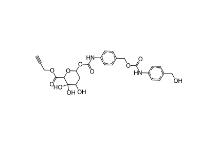 C#CCOC(=O)C1OC(OC(=O)Nc2ccc(COC(=O)Nc3ccc(CO)cc3)cc2)CC(O)C1(O)O